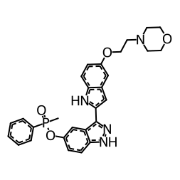 CP(=O)(Oc1ccc2[nH]nc(-c3cc4cc(OCCN5CCOCC5)ccc4[nH]3)c2c1)c1ccccc1